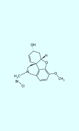 COc1ccc2c3c1O[C@H]1C[C@@H](O)C=C[C@@]31CCN(C)C2.ClBr